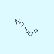 FC(F)(F)c1ccc(/C=C/COc2cccc(-c3c[c]sc3)c2)cc1